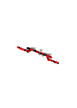 CCCCCCCCCCCCCN(C)CC(=O)OC(CCCCC)C(O)C/C=C/CCCCCCCC(=O)NCNC(=O)C/C=C/CC(O)C(CCCCC)OC(=O)CN(C)CCCCCCCCCCCCC